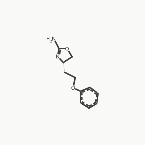 NC1=N[C@@H](CCOc2ccccc2)CO1